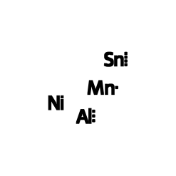 [Al].[Mn].[Ni].[Sn]